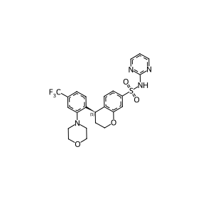 O=S(=O)(Nc1ncccn1)c1ccc2c(c1)OCC[C@H]2c1ccc(C(F)(F)F)cc1N1CCOCC1